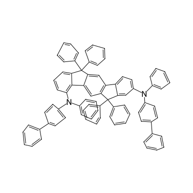 c1ccc(-c2ccc(N(c3ccccc3)c3ccc4c(c3)C(c3ccccc3)(c3ccccc3)c3cc5c(cc3-4)C(c3ccccc3)(c3ccccc3)c3cccc(N(c4ccccc4)c4ccc(-c6ccccc6)cc4)c3-5)cc2)cc1